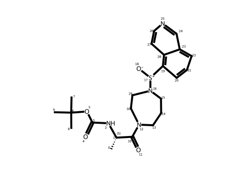 C[C@H](NC(=O)OC(C)(C)C)C(=O)N1CCCN([S+]([O-])c2cccc3cnccc23)CC1